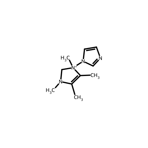 CC1=C(C)[N+](C)(n2ccnc2)CN1C